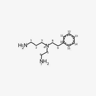 NCCCN(CCN)CCc1ccccc1